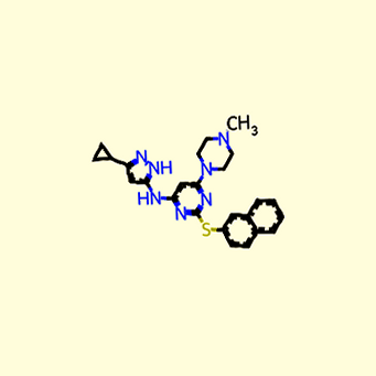 CN1CCN(c2cc(Nc3cc(C4CC4)n[nH]3)nc(Sc3ccc4ccccc4c3)n2)CC1